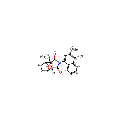 COc1cc(N2C(=O)[C@@H]3C4CCC(C)(O4)[C@@H]3C2=O)c2ccccc2c1C#N